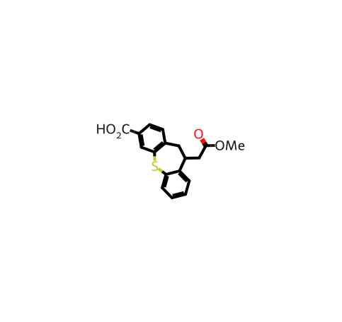 COC(=O)CC1Cc2ccc(C(=O)O)cc2Sc2ccccc21